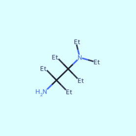 CCN(CC)C(CC)(CC)C(N)(CC)CC